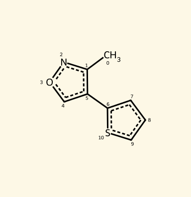 Cc1nocc1-c1cccs1